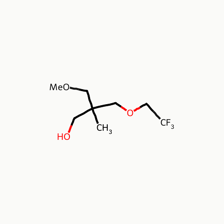 COCC(C)(CO)COCC(F)(F)F